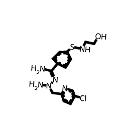 N/C(=N\N(N)Cc1ccc(Cl)cn1)c1ccc(SNCCO)cc1